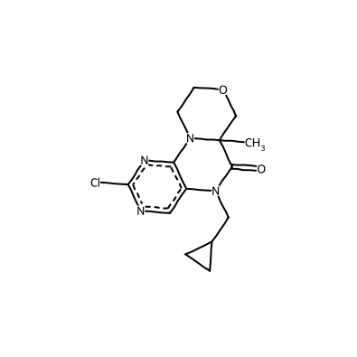 CC12COCCN1c1nc(Cl)ncc1N(CC1CC1)C2=O